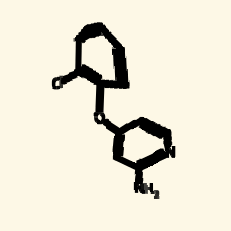 Nc1cc(Oc2ccc[c]c2Cl)ccn1